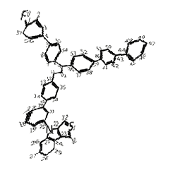 FC1C=CC(c2ccc([C@H](CCc3ccc(-c4cccc(-n5c6c(c7c5C=CCC7)C=S=C6)c4)cc3)c3ccc(-c4ccc(-c5ccccc5)cc4)cc3)cc2)=CC1